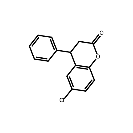 O=C1CC(c2ccccc2)c2cc(Cl)ccc2O1